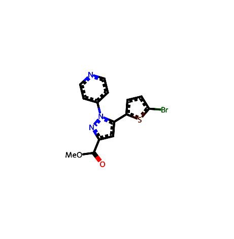 COC(=O)c1cc(-c2ccc(Br)s2)n(-c2ccncc2)n1